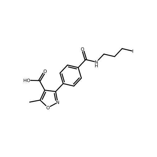 Cc1onc(-c2ccc(C(=O)NCCCI)cc2)c1C(=O)O